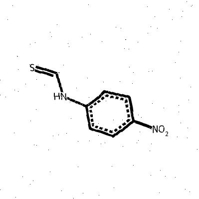 O=[N+]([O-])c1ccc(N[C]=S)cc1